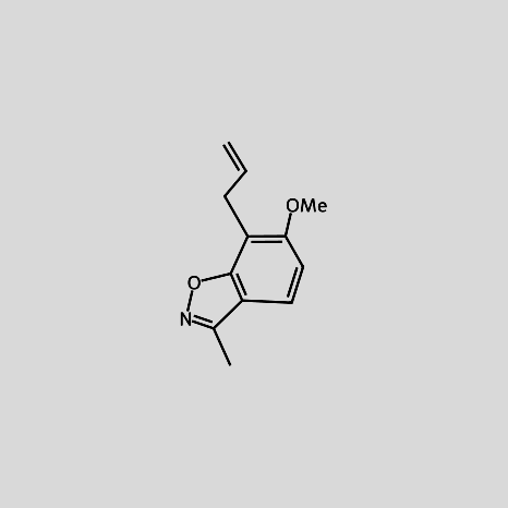 C=CCc1c(OC)ccc2c(C)noc12